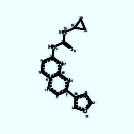 S=C(Nc1ccc2ncc(-c3ccoc3)nc2n1)NC1CC1